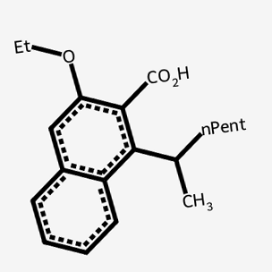 CCCCCC(C)c1c(C(=O)O)c(OCC)cc2ccccc12